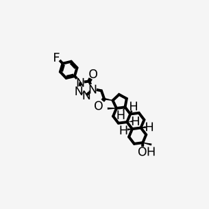 C[C@@]1(O)CC[C@H]2[C@H](CC[C@@H]3[C@@H]2CC[C@]2(C)[C@@H](C(=O)Cn4nnn(-c5ccc(F)cc5)c4=O)CC[C@@H]32)C1